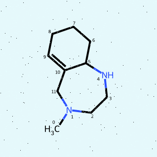 CN1CCNC2CCCC=C2C1